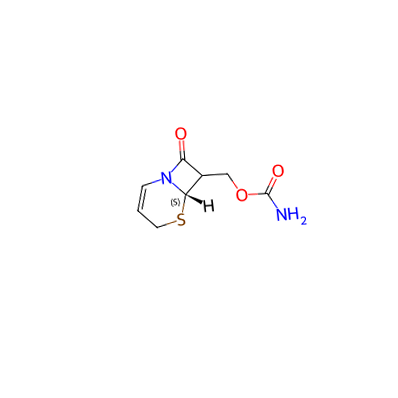 NC(=O)OCC1C(=O)N2C=CCS[C@@H]12